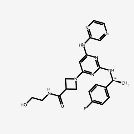 C[C@H](Nc1nc(Nc2cnccn2)cc(N2CC(C(=O)NCCO)C2)n1)c1ccc(F)cc1